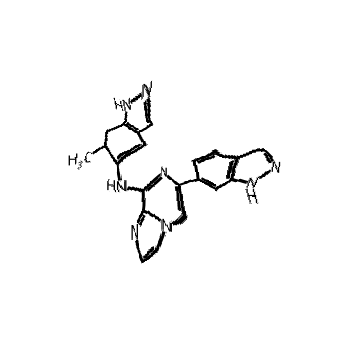 CC1Cc2[nH]ncc2C=C1Nc1nc(-c2ccc3cn[nH]c3c2)cn2ccnc12